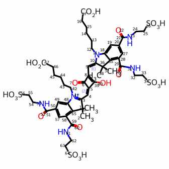 CC1(C)C(/C=C2\C(=O)C(/C=C3/N(CCCCCC(=O)O)c4cc(C(=O)NCCS(=O)(=O)O)cc(C(=O)NCCS(=O)(=O)O)c4C3(C)C)=C2O)=[N+](CCCCCC(=O)O)c2cc(C(=O)NCCS(=O)(=O)O)cc(C(=O)NCCS(=O)(=O)O)c21